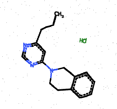 CCCc1cc(N2CCc3ccccc3C2)ncn1.Cl